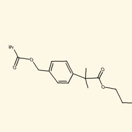 CC(C)CCOC(=O)C(C)(C)c1ccc(COC(=O)C(C)C)cc1